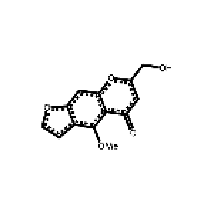 COc1c2ccoc2cc2oc(CO)cc(=O)c12